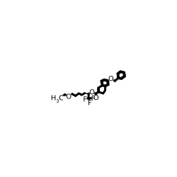 CCOCCCCC[C@@H](OC(=O)C1=Cc2ccc(OCc3ccccc3)cc2CC1)C(F)(F)F